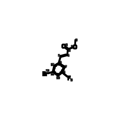 COC(=O)C=Cc1cc(F)cc(Br)c1